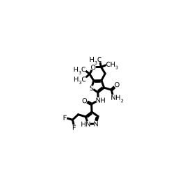 CC1(C)Cc2c(sc(NC(=O)c3cn[nH]c3CC(F)F)c2C(N)=O)C(C)(C)O1